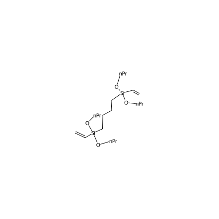 C=C[Si](CCCC[Si](C=C)(OCCC)OCCC)(OCCC)OCCC